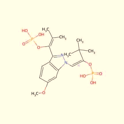 COc1ccc2c(C(OP(=O)(O)O)=C(C)C)nn(/C=C(/OP(=O)(O)O)C(C)(C)C)c2c1